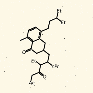 CCCC(CC1CC(=O)c2c(C)ccc(CCC(CC)CC)c2C1)C(CC)C(=O)CC(C)=O